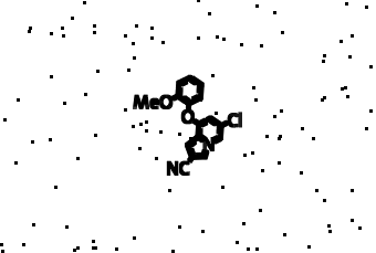 COc1ccccc1Oc1cc(Cl)cn2cc(C#N)cc12